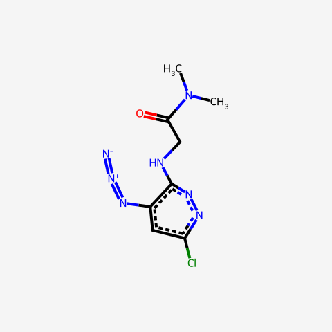 CN(C)C(=O)CNc1nnc(Cl)cc1N=[N+]=[N-]